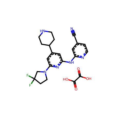 N#Cc1ccnc(Nc2cc(C3CCNCC3)cc(N3CCC(F)(F)C3)n2)c1.O=C(O)C(=O)O